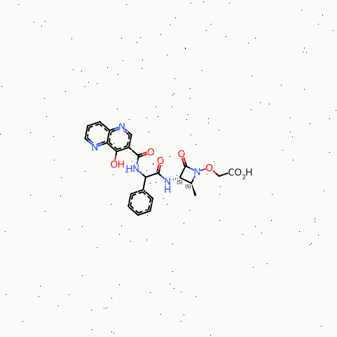 C[C@H]1[C@H](NC(=O)C(NC(=O)c2cnc3cccnc3c2O)c2ccccc2)C(=O)N1OCC(=O)O